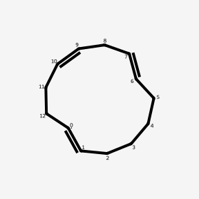 [C]1=C/CCCC/C=C/C/C=C\CC/1